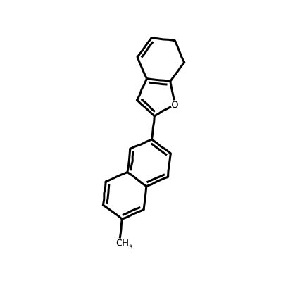 Cc1ccc2cc(-c3cc4c(o3)CCC=C4)ccc2c1